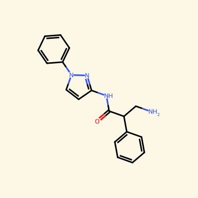 NCC(C(=O)Nc1ccn(-c2ccccc2)n1)c1ccccc1